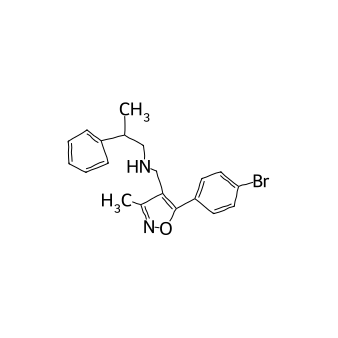 Cc1noc(-c2ccc(Br)cc2)c1CNCC(C)c1ccccc1